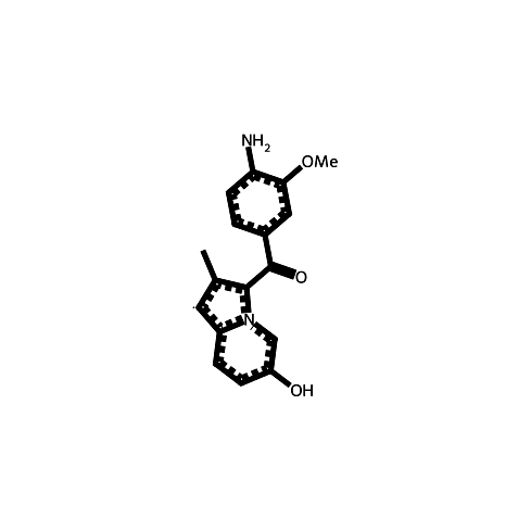 COc1cc(C(=O)c2c(C)[c]c3ccc(O)cn23)ccc1N